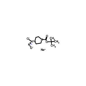 CC(C)(C)OC(=O)N1CCN(/[N+]([O-])=N\[O-])CC1.[Na+]